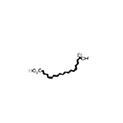 CC[C@@H](O)CCC/C=C\CCCCCCC/C=C\CCCC(=O)O